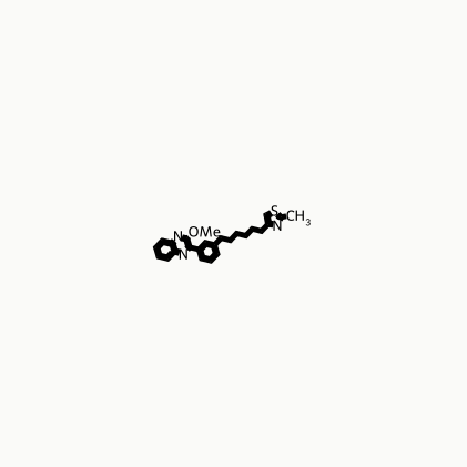 COc1nc2ccccc2nc1-c1cccc(CCCCCCc2csc(C)n2)c1